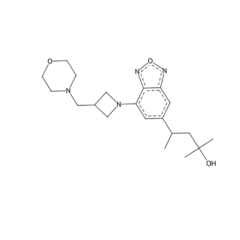 CC(CC(C)(C)O)c1cc(N2CC(CN3CCOCC3)C2)c2nonc2c1